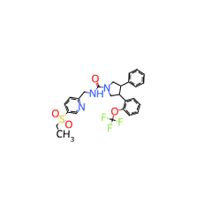 CCS(=O)(=O)c1ccc(CNC(=O)N2CC(c3ccccc3)C(c3ccccc3OC(F)(F)F)C2)nc1